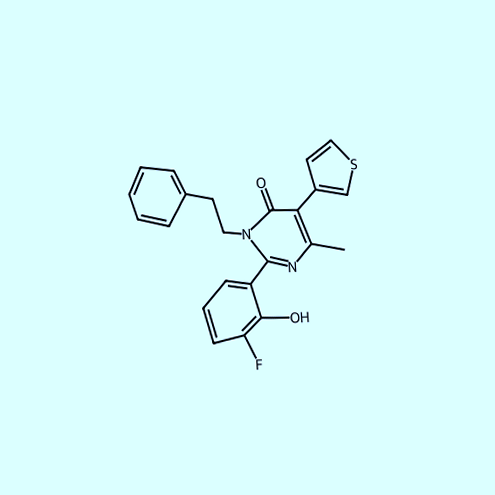 Cc1nc(-c2cccc(F)c2O)n(CCc2ccccc2)c(=O)c1-c1ccsc1